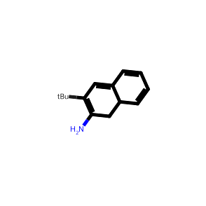 CC(C)(C)C1=C(N)CC2C=CC=CC2=C1